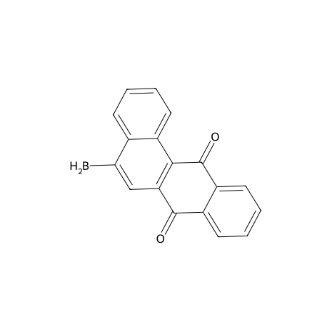 Bc1cc2c(c3ccccc13)C(=O)c1ccccc1C2=O